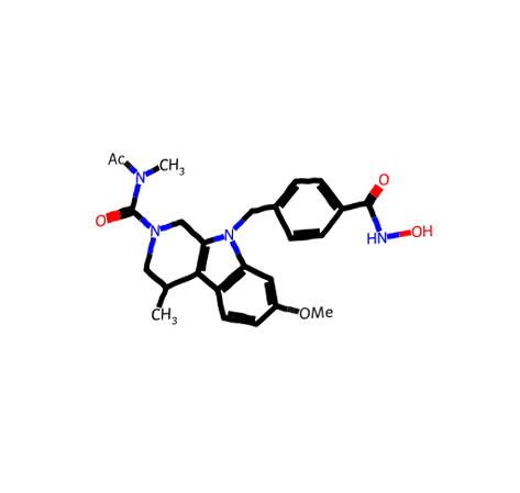 COc1ccc2c3c(n(Cc4ccc(C(=O)NO)cc4)c2c1)CN(C(=O)N(C)C(C)=O)CC3C